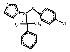 CC(C)(c1ccccc1)C(Sc1ccc(Cl)cc1)n1ccnc1